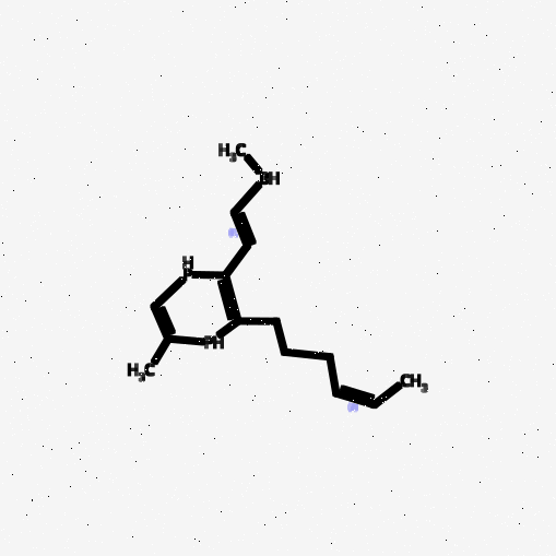 CB/C=C/C1=C(CCC/C=C\C)PC(C)=CP1